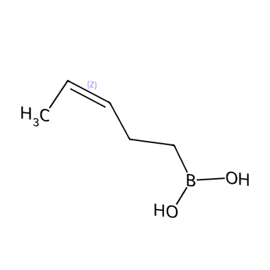 C/C=C\CCB(O)O